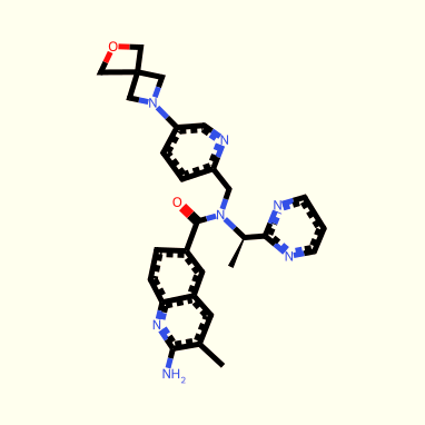 Cc1cc2cc(C(=O)N(Cc3ccc(N4CC5(COC5)C4)cn3)[C@H](C)c3ncccn3)ccc2nc1N